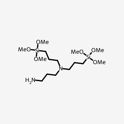 CO[Si](CCCN(CCCN)CCC[Si](OC)(OC)OC)(OC)OC